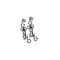 Cc1cccc(-c2csc(N3CCN(S(=O)(=O)c4ccc(CBr)cc4)CC3)n2)c1C.Cc1cccc(C)c1-c1csc(N2CCN(S(=O)(=O)c3ccc(CBr)cc3)CC2)n1